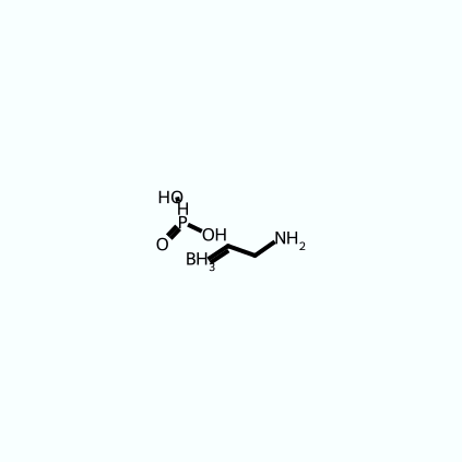 B.C=CCN.O=[PH](O)O